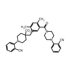 CCOC(=O)C1(Cc2cc(C(=O)N3CCN(c4ccccc4C#N)CC3)c(C)cc2C)CCN(c2ccccc2C#N)CC1